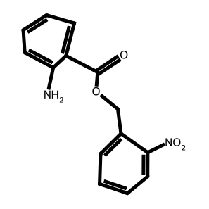 Nc1ccccc1C(=O)OCc1ccccc1[N+](=O)[O-]